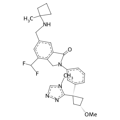 CO[C@H]1C[C@](c2cccc(N3Cc4c(cc(CNC5(C)CCC5)cc4C(F)F)C3=O)c2)(c2nncn2C)C1